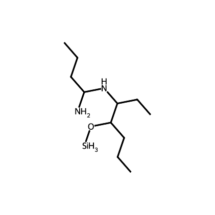 CCCC(N)NC(CC)C(CCC)O[SiH3]